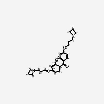 O=c1c2ccc(OCCCN3CCC3)cc2oc2cc(OCCCN3CCC3)ccc12